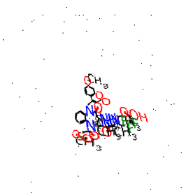 CN[C@@H](C)C(=O)N[C@@H]1C(=O)N(Cc2cc(=O)oc3cc(OC)ccc23)c2ccccc2N(C(=O)CS(C)(=O)=O)[C@H]1C.O=C(O)C(F)(F)F